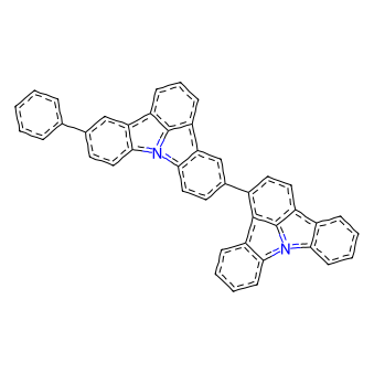 c1ccc(-c2ccc3c(c2)c2cccc4c5cc(-c6ccc7c8ccccc8n8c9ccccc9c6c78)ccc5n3c24)cc1